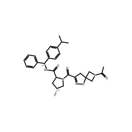 CC(=O)N1CC2(CC(C(=O)N3C[C@H](F)CC3C(=O)N[C@@H](c3ccccc3)c3ccc(C(C)C)cc3)=NO2)C1